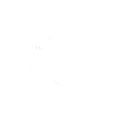 CCC(CC#Cc1ccccc1)NC1CCc2ccc(N)cc2C1